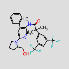 CN(C(=O)C(C)(C)c1cc(C(F)(F)F)cc(C(F)(F)F)c1)c1cnc(N2CCCC2CO)cc1-c1ccccc1